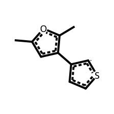 Cc1cc(-c2[c]scc2)c(C)o1